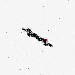 COCCOC(=O)NC(C(=O)N1CCC[C@H]1c1nc2cc(-c3ccc(-c4ccc5[nH]c([C@@H]6CCCN6C(=O)[C@@H](NC(=O)OCCOC)C(C)C)nc5c4)cc3)ccc2[nH]1)C(C)C